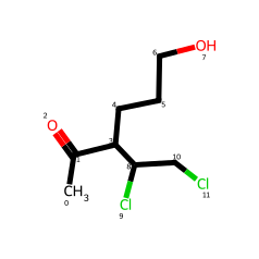 CC(=O)C(CCCO)C(Cl)CCl